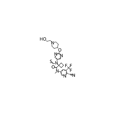 CN(C(=O)C1(N(C=S)c2cnc(OC3CCN(CCO)CC3)nc2)CCC1)c1cnc(C#N)c(C(F)(F)F)c1